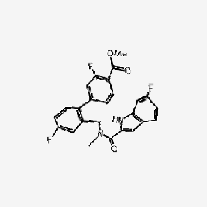 COC(=O)c1ccc(-c2ccc(F)cc2CN(C)C(=O)c2cc3ccc(F)cc3[nH]2)cc1F